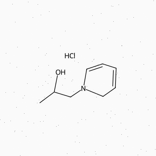 CC(O)CN1C=CC=CC1.Cl